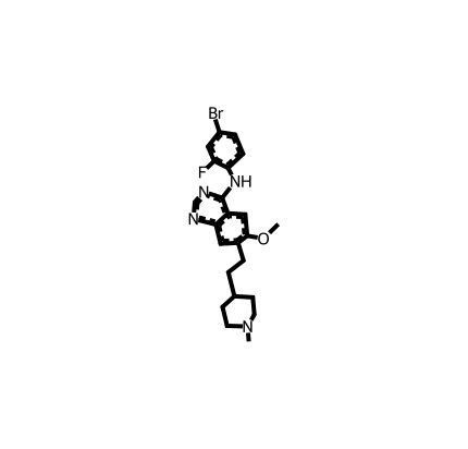 COc1cc2c(Nc3ccc(Br)cc3F)ncnc2cc1CCC1CCN(C)CC1